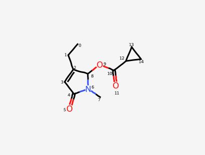 CCC1=CC(=O)N(C)C1OC(=O)C1CC1